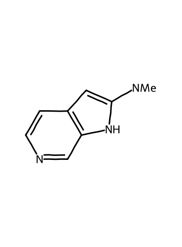 CNc1cc2ccncc2[nH]1